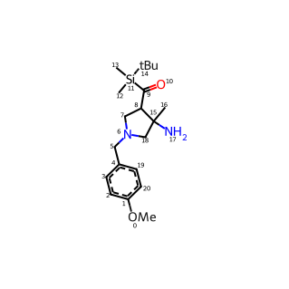 COc1ccc(CN2CC(C(=O)[Si](C)(C)C(C)(C)C)C(C)(N)C2)cc1